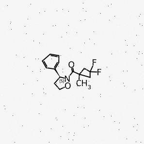 CC1(C(=O)N2OCC[C@H]2c2ccccc2)CC(F)(F)C1